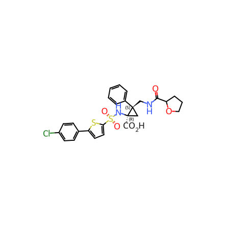 O=C(NC[C@@]1(c2ccccc2)C[C@]1(NS(=O)(=O)c1ccc(-c2ccc(Cl)cc2)s1)C(=O)O)C1CCCO1